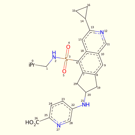 CC(C)CNS(=O)(=O)c1c2c(cc3cnc(C4CC4)cc13)CC(Nc1ccc(C(=O)O)nc1)C2